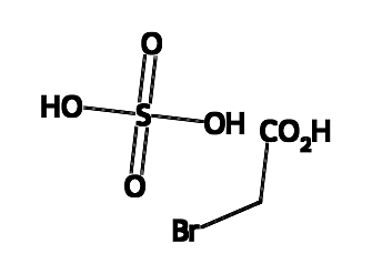 O=C(O)CBr.O=S(=O)(O)O